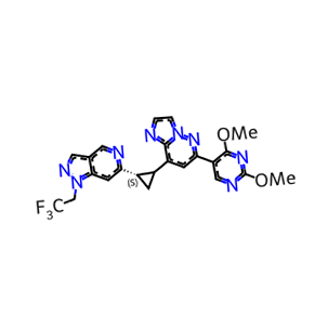 COc1ncc(-c2cc(C3C[C@@H]3c3cc4c(cn3)cnn4CC(F)(F)F)c3nccn3n2)c(OC)n1